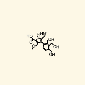 CNCc1[nH]c(C(=O)O)c(COC)c1-c1ccc(CO)c(CO)c1CO